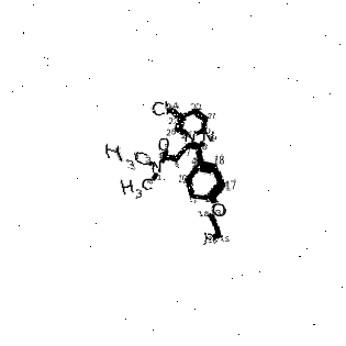 CCN(C)C(=O)Cc1c(-c2ccc(OCCF)cc2)nc2ccc(Cl)cn12